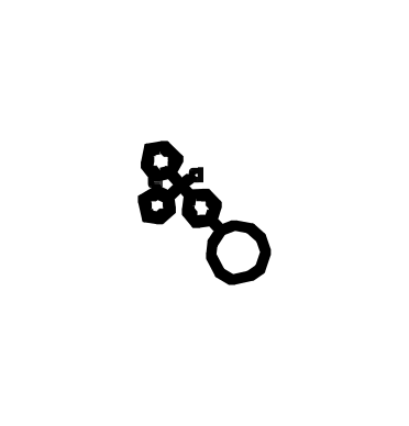 Clc1ccccc1C(Cl)(c1ccccc1)c1ccc(C2CCCCCCCCCC2)cc1